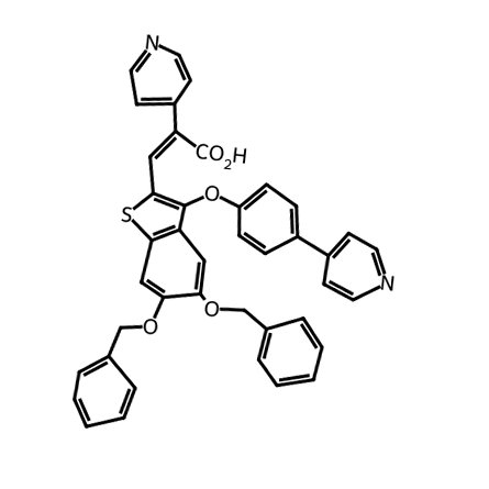 O=C(O)C(=Cc1sc2cc(OCc3ccccc3)c(OCc3ccccc3)cc2c1Oc1ccc(-c2ccncc2)cc1)c1ccncc1